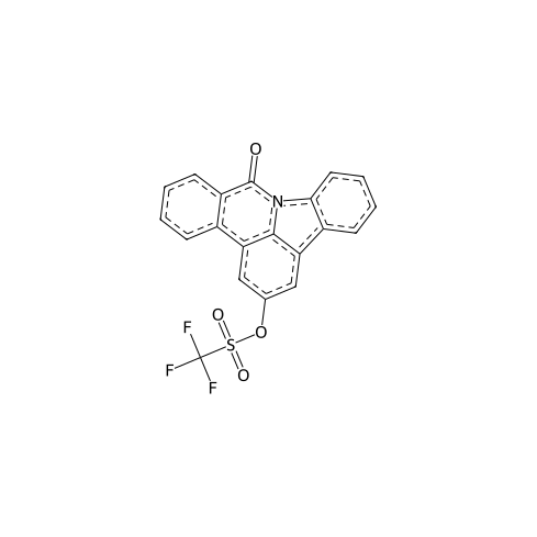 O=c1c2ccccc2c2cc(OS(=O)(=O)C(F)(F)F)cc3c4ccccc4n1c23